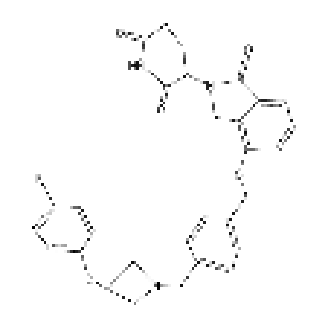 O=C1CCC(N2Cc3c(OCc4ccc(CN5CC(Oc6ccc(F)cc6)C5)cc4)cccc3C2=O)C(=O)N1